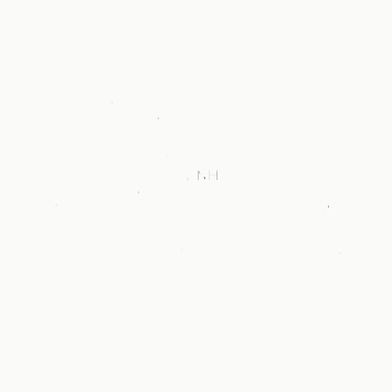 Brc1cccc2c1CCC(C1CCCCC1)N2